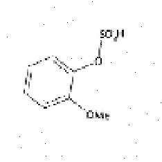 COc1ccccc1OS(=O)(=O)O